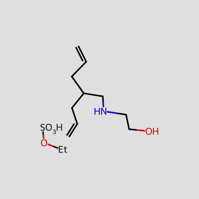 C=CCC(CC=C)CNCCO.CCOS(=O)(=O)O